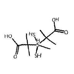 CC(C)(C(=O)O)[SH](C)(S)(S)C(C)(C)C(=O)O